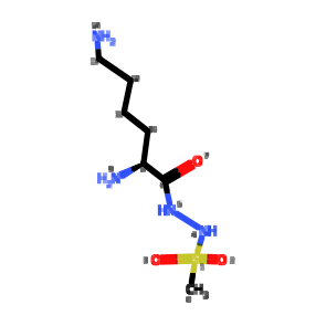 CS(=O)(=O)NNC(=O)[C@@H](N)CCCCN